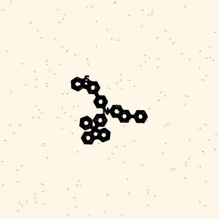 c1ccc(-c2ccc3cc(N(c4ccc(-c5ccc6sc7ccccc7c6c5)cc4)c4ccc(C5(c6ccccc6)c6ccccc6-c6ccccc65)cc4)ccc3c2)cc1